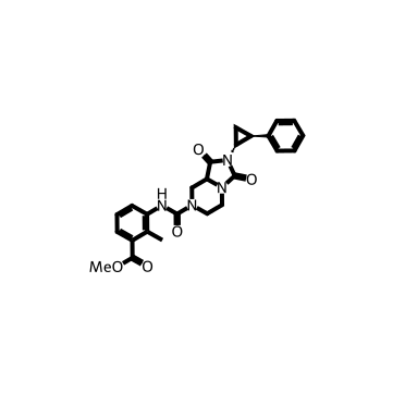 COC(=O)c1cccc(NC(=O)N2CCN3C(=O)N([C@@H]4C[C@H]4c4ccccc4)C(=O)C3C2)c1C